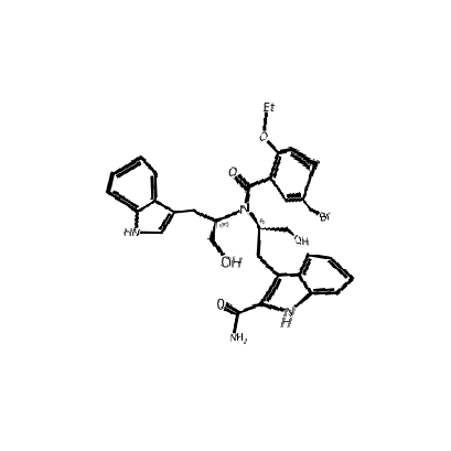 CCOc1ccc(Br)cc1C(=O)N([C@@H](CO)Cc1c[nH]c2ccccc12)[C@@H](CO)Cc1c(C(N)=O)[nH]c2ccccc12